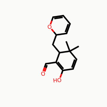 CC1(C)C=CC(O)=C(C=O)C1CC1C=CC=CO1